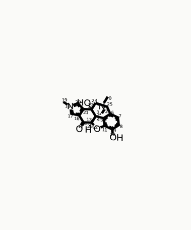 CN1CC[C@]23c4c5ccc(O)c4O[C@H]2C(=O)c2cn(C)cc2[C@@]3(O)C1C5